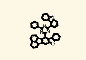 c1ccc(-c2nc(-c3c4c(cc5oc6ccccc6c35)-c3cccc5cccc-4c35)nc(-c3cccc4sc5ccccc5c34)n2)cc1